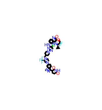 Cn1nc(C2CCC(=O)NC2=O)c2ccc(N3CCN(CC4CCN(c5ncc(Cl)c(Nc6ccc7c(c6)c6c(c(=O)n7C)OCC(F)(F)[C@H](C7CC7)N6)n5)CC4)[C@H](C(F)(F)F)C3)cc21